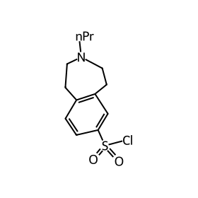 CCCN1CCc2ccc(S(=O)(=O)Cl)cc2CC1